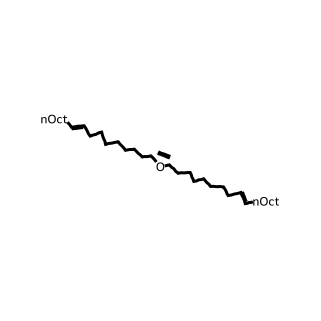 C=C.CCCCCCCCC=CCCCCCCCCOCCCCCCCCC=CCCCCCCCC